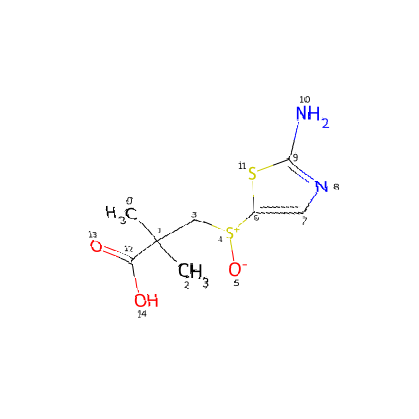 CC(C)(C[S+]([O-])c1cnc(N)s1)C(=O)O